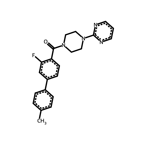 Cc1ccc(-c2ccc(C(=O)N3CCN(c4ncccn4)CC3)c(F)c2)cc1